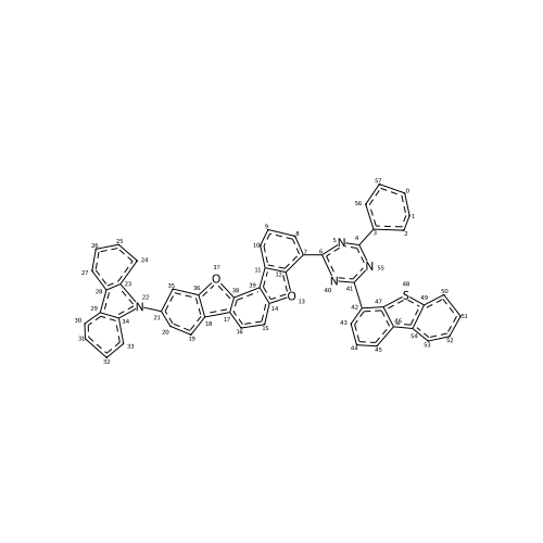 c1ccc(-c2nc(-c3cccc4c3oc3ccc5c6ccc(-n7c8ccccc8c8ccccc87)cc6oc5c34)nc(-c3cccc4c3sc3ccccc34)n2)cc1